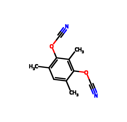 Cc1cc(C)c(OC#N)c(C)c1OC#N